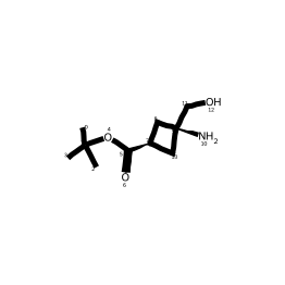 CC(C)(C)OC(=O)[C@H]1C[C@](N)(CO)C1